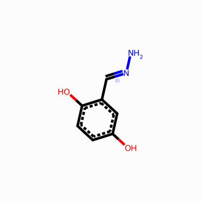 N/N=C/c1cc(O)ccc1O